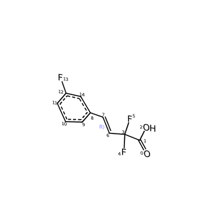 O=C(O)C(F)(F)/C=C/c1cccc(F)c1